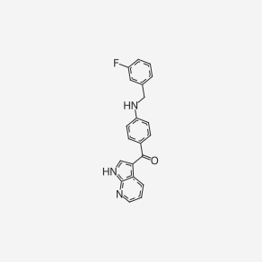 O=C(c1ccc(NCc2cccc(F)c2)cc1)c1c[nH]c2ncccc12